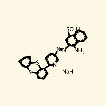 Nc1c(N=Nc2ccc(-c3cccc4c3Sc3ccccc3S4)nc2)cc(S(=O)(=O)O)c2ccccc12.[NaH]